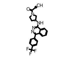 C#CC(=O)N1CC[C@H](Nc2nnc(-c3ccc(C(F)(F)F)cc3)c3ccccc23)C1